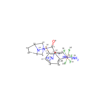 NN/C=C(\N)C(=O)N1CC2CCC(C1)N2Sc1cccc(S(F)(F)(F)(F)F)c1